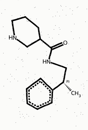 C[C@@H](CNC(=O)C1CCCNC1)c1ccccc1